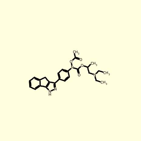 CCN(CC)CC(C)OC(=O)N(OC(C)=O)c1ccc(-c2n[nH]c3c2Cc2ccccc2-3)cc1